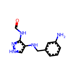 Nc1cccc(CNc2c[nH]nc2NC=O)c1